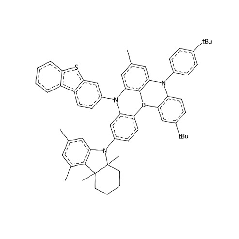 Cc1cc2c3c(c1)N(c1ccc4c(c1)sc1ccccc14)c1cc(N4c5cc(C)cc(C)c5C5(C)CCCCC45C)ccc1B3c1cc(C(C)(C)C)ccc1N2c1ccc(C(C)(C)C)cc1